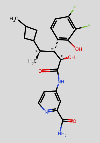 CC1CC([C@H](C)[C@H](c2ccc(F)c(F)c2O)[C@@H](O)C(=O)Nc2ccnc(C(N)=O)c2)C1